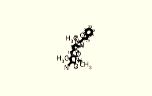 CCN1C(=O)C(C#N)=C(C)/C(=C/c2cc3c(nc(-c4cc5ccccc5o4)n3C)s2)C1=O